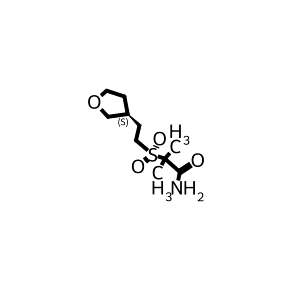 CC(C)(C(N)=O)S(=O)(=O)CC[C@@H]1CCOC1